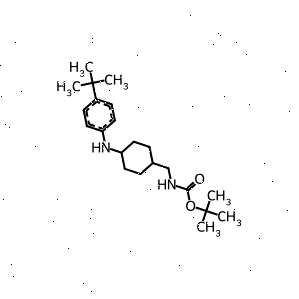 CC(C)(C)OC(=O)NCC1CCC(Nc2ccc(C(C)(C)C)cc2)CC1